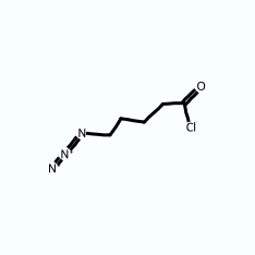 [N-]=[N+]=NCCCCC(=O)Cl